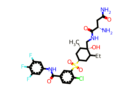 CCC1C[C@@H](S(=O)(=O)c2cc(C(=O)Nc3cc(F)c(F)c(F)c3)ccc2Cl)C[C@H](C)[C@@]1(O)CNC(=O)[C@@H](N)CC(N)=O